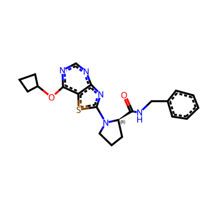 O=C(NCc1ccccc1)[C@H]1CCCN1c1nc2ncnc(OC3CCC3)c2s1